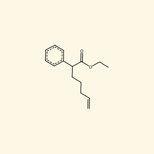 C=CCCCC(C(=O)OCC)c1ccccc1